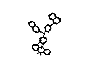 CC1(C)c2ccccc2-n2c3ccc(N(c4ccc(-c5cccc6ccccc56)cc4)c4ccc5ccccc5c4)cc3c3cccc1c32